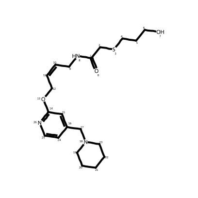 O=C(CSCCCO)NC/C=C\COc1cc(CN2CCCCC2)ccn1